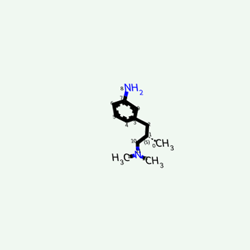 C[C@@H](Cc1cccc(N)c1)CN(C)C